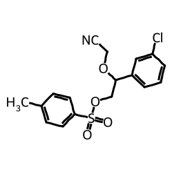 Cc1ccc(S(=O)(=O)OCC(OCC#N)c2cccc(Cl)c2)cc1